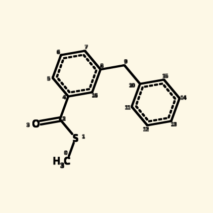 CSC(=O)c1cccc(Cc2ccccc2)c1